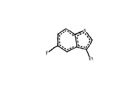 [CH2]Cc1csc2ccc(F)cc12